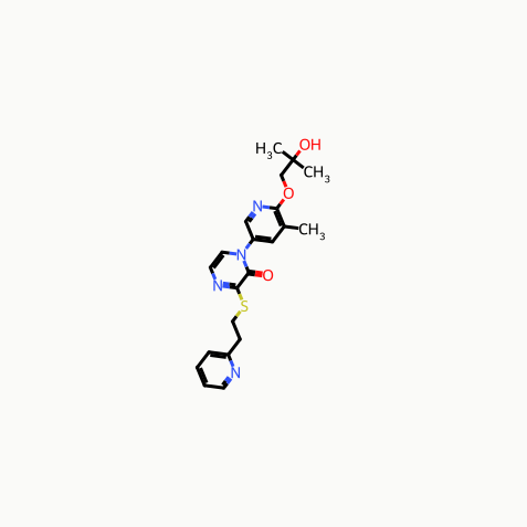 Cc1cc(-n2ccnc(SCCc3ccccn3)c2=O)cnc1OCC(C)(C)O